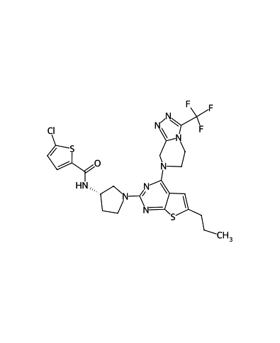 CCCc1cc2c(N3CCn4c(nnc4C(F)(F)F)C3)nc(N3CC[C@H](NC(=O)c4ccc(Cl)s4)C3)nc2s1